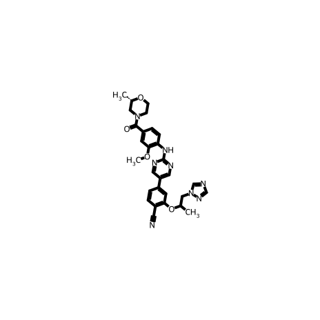 COc1cc(C(=O)N2CCO[C@@H](C)C2)ccc1Nc1ncc(-c2ccc(C#N)c(OC(C)Cn3cncn3)c2)cn1